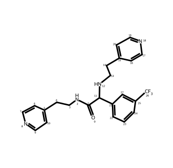 O=C(NCCc1ccncc1)C(NCCc1ccncc1)c1cccc(C(F)(F)F)c1